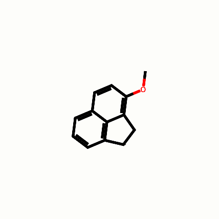 COc1ccc2cccc3c2c1C[CH]3